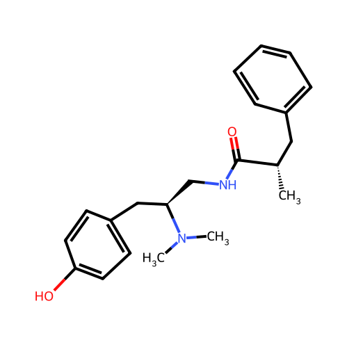 C[C@@H](Cc1ccccc1)C(=O)NC[C@H](Cc1ccc(O)cc1)N(C)C